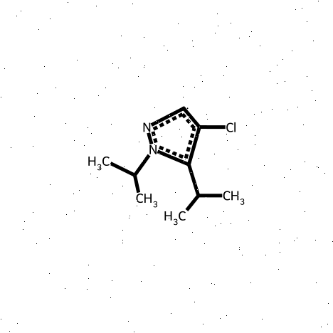 CC(C)c1c(Cl)[c]nn1C(C)C